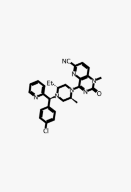 CC[C@@H]1CN(c2nc(=O)n(C)c3ccc(C#N)nc23)[C@@H](C)CN1[C@@H](c1ccc(Cl)cc1)c1ccccn1